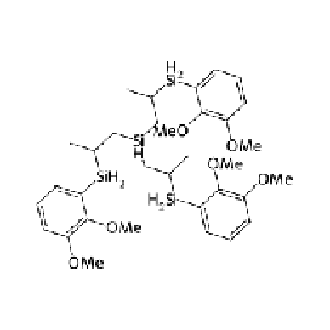 COc1cccc([SiH2]C(C)C[SiH](CC(C)[SiH2]c2cccc(OC)c2OC)CC(C)[SiH2]c2cccc(OC)c2OC)c1OC